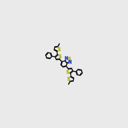 Cc1ccc(-c2sc(-c3ccc(-c4cc(-c5ccccc5)c(-c5ccc(C)s5)s4)c4nsnc34)cc2-c2ccccc2)s1